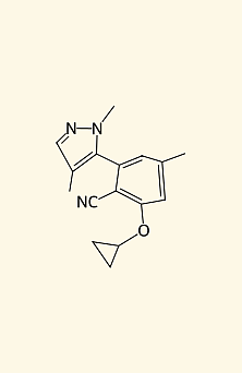 Cc1cc(OC2CC2)c(C#N)c(-c2c(C)cnn2C)c1